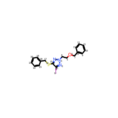 Ic1nn(CCOCc2ccccc2)nc1SCc1ccccc1